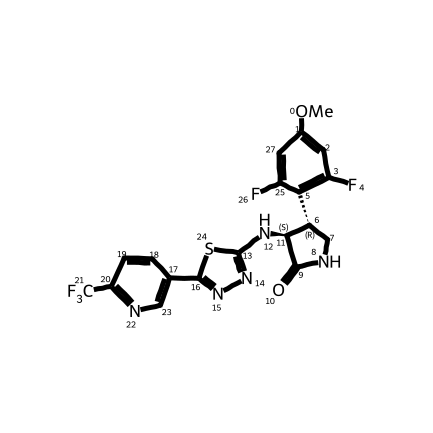 COc1cc(F)c([C@@H]2CNC(=O)[C@H]2Nc2nnc(-c3ccc(C(F)(F)F)nc3)s2)c(F)c1